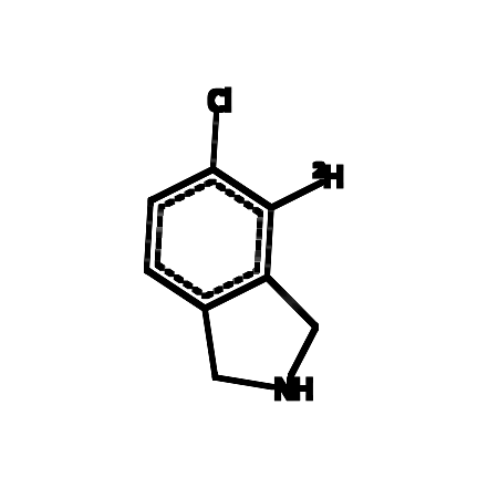 [2H]c1c(Cl)ccc2c1CNC2